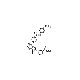 CNC(=O)c1cccc(-c2cc3c(N4CCN(C(=O)Nc5ccc(OC(F)(F)F)cc5)CC4)ncnc3[nH]2)c1